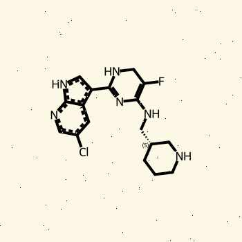 FC1=C(NC[C@H]2CCCNC2)N=C(c2c[nH]c3ncc(Cl)cc23)NC1